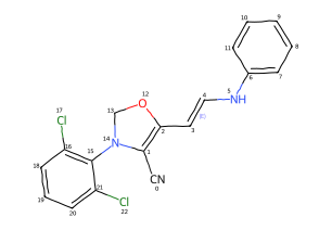 N#CC1=C(/C=C/Nc2ccccc2)OCN1c1c(Cl)cccc1Cl